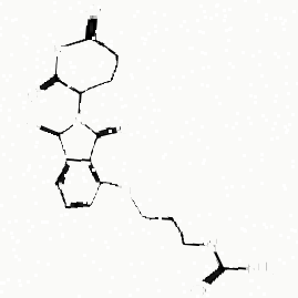 NC(=O)NCCCOc1cccc2c1C(=O)N(C1CCC(=O)NC1=O)C2=O